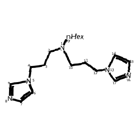 CCCCCCN(CCCn1ccnc1)CCCn1ccnc1